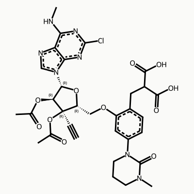 C#C[C@@]1(OC(C)=O)[C@@H](COc2cc(N3CCCN(C)C3=O)ccc2CC(C(=O)O)C(=O)O)O[C@@H](n2cnc3c(NC)nc(Cl)nc32)[C@@H]1OC(C)=O